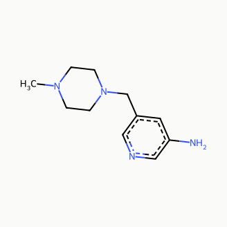 CN1CCN(Cc2cncc(N)c2)CC1